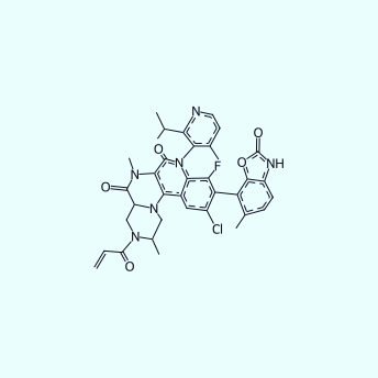 C=CC(=O)N1CC2C(=O)N(C)c3c(c4cc(Cl)c(-c5c(C)ccc6[nH]c(=O)oc56)c(F)c4n(-c4c(C)ccnc4C(C)C)c3=O)N2CC1C